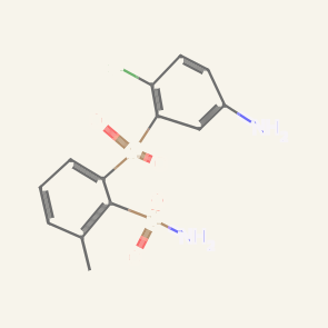 Cc1cccc(S(=O)(=O)c2cc(N)ccc2Cl)c1S(N)(=O)=O